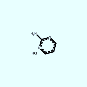 Cl.Nc1ncccn1